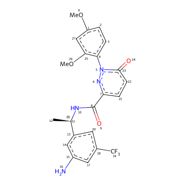 COc1ccc(-n2nc(C(=O)N[C@H](C)c3cc(N)cc(C(F)(F)F)c3)ccc2=O)c(OC)c1